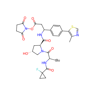 Cc1ncsc1-c1ccc(C(CC(=O)ON2C(=O)CCC2=O)NC(=O)[C@@H]2C[C@@H](O)CN2C(=O)C(NC(=O)C2(F)CC2)C(C)(C)C)cc1